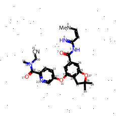 CN/C=C\C(=N)NC(=O)c1cc(Oc2ccc(C(=O)N(C)CC#N)nc2)c2c(c1)OC(C)(C)C2